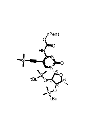 CCCCCOC(=O)Nc1nc(=O)n([C@@H]2O[C@H](C)[C@@H](O[Si](C)(C)C(C)(C)C)[C@H]2O[Si](C)(C)C(C)(C)C)cc1C#C[Si](C)(C)C